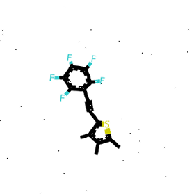 Cc1sc(C#Cc2c(F)c(F)c(F)c(F)c2F)c(C)c1C